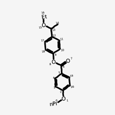 CCCOc1ccc(C(=O)Oc2ccc(C(C)OCC)cc2)cc1